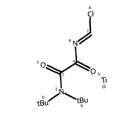 CC(C)(C)N(C(=O)C(=O)N=CCl)C(C)(C)C.[Ti]